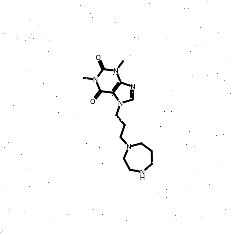 Cn1c(=O)c2c(ncn2CCCN2CCCNCC2)n(C)c1=O